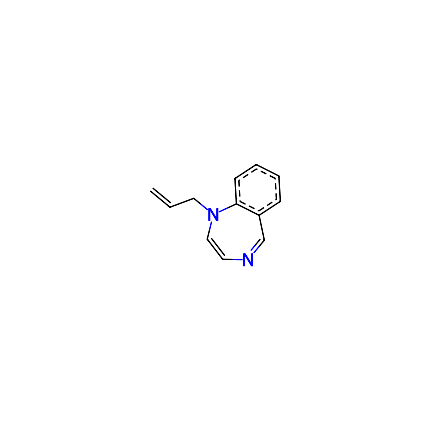 C=CCN1C=CN=Cc2ccccc21